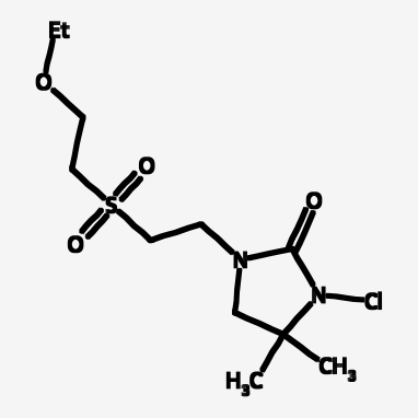 CCOCCS(=O)(=O)CCN1CC(C)(C)N(Cl)C1=O